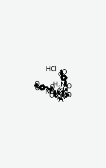 CC(=O)Oc1ccc(C[C@H](N)C(=O)OCN2C(=O)CN([C@H](C)[C@H](C)N3CC(=O)N(COC(=O)[C@@H](N)Cc4ccc(OC(C)=O)cc4)C(=O)C3)CC2=O)cc1.Cl